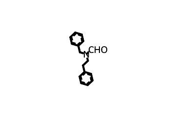 O=[C]N(CCc1ccccc1)Cc1ccccc1